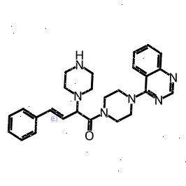 O=C(C(/C=C/c1ccccc1)N1CCNCC1)N1CCN(c2ncnc3ccccc23)CC1